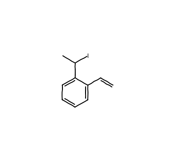 C=Cc1ccccc1C(C)I